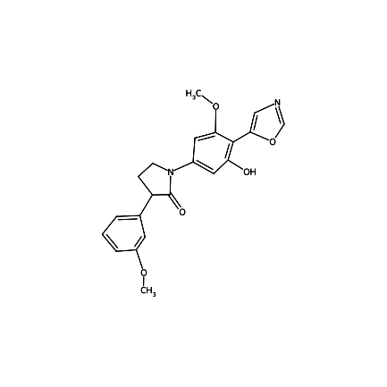 COc1cccc(C2CCN(c3cc(O)c(-c4cnco4)c(OC)c3)C2=O)c1